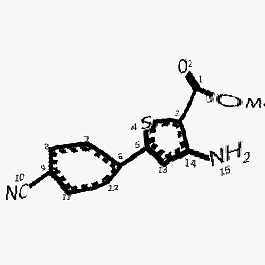 COC(=O)c1sc(-c2ccc(C#N)cc2)cc1N